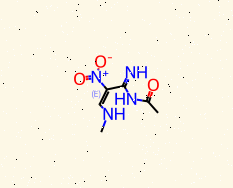 CN/C=C(\C(=N)NC(C)=O)[N+](=O)[O-]